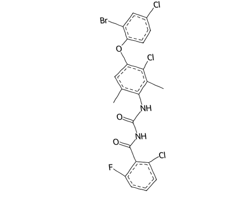 Cc1cc(Oc2ccc(Cl)cc2Br)c(Cl)c(C)c1NC(=O)NC(=O)c1c(F)cccc1Cl